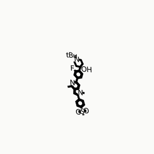 Cc1nc(-c2ccc(C3(O)CCN(C(C)(C)C)CC3)c(F)c2)cc2c1cc(-c1ccc(S(C)(=O)=O)cc1)n2C